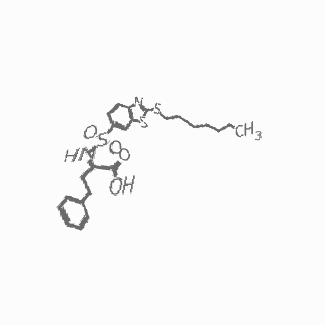 CCCCCCCSc1nc2ccc(S(=O)(=O)NC(CCc3ccccc3)C(=O)O)cc2s1